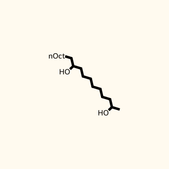 CCCCCCCCCC(O)CCCCCCCC(C)O